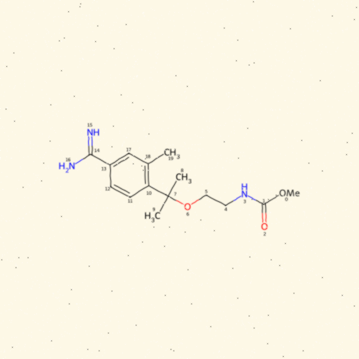 COC(=O)NCCOC(C)(C)c1ccc(C(=N)N)cc1C